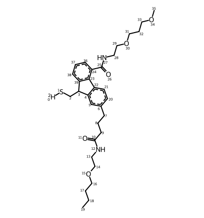 [2H]SCC1c2cc(CCCC(=O)NCCOCCCC)ccc2-c2c(C(=O)NCCOCCCOC)cccc21